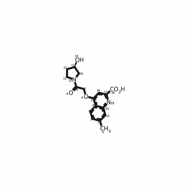 Cc1ccc2c(OCC(=O)N3CC[C@@H](O)C3)cc(C(=O)O)nc2c1